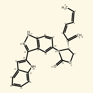 C=C(/C=C\C=C/C)[C@@H]1COC(=O)N1c1ccc2[nH]nc(-c3cc4ccccc4[nH]3)c2c1